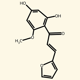 COc1cc(O)cc(O)c1C(=O)C=Cc1ccco1